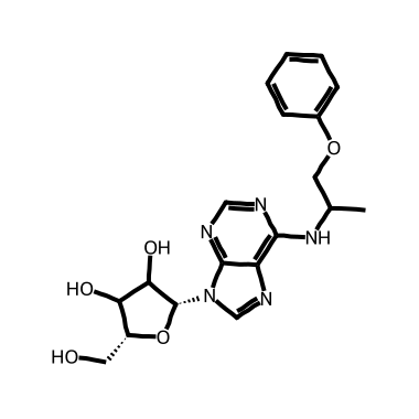 CC(COc1ccccc1)Nc1ncnc2c1ncn2[C@@H]1O[C@H](CO)C(O)C1O